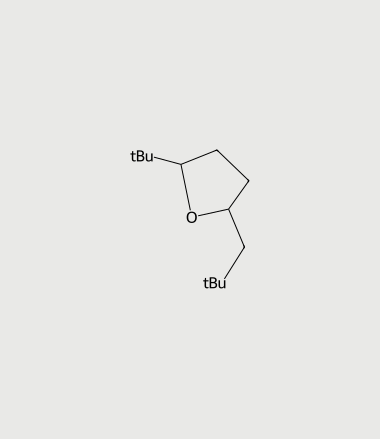 CC(C)(C)CC1CCC(C(C)(C)C)O1